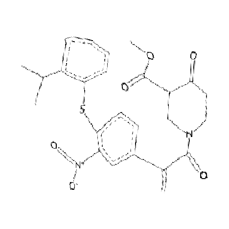 C=C(C(=O)N1CCC(=O)C(C(=O)OC)C1)c1ccc(Sc2ccccc2C(C)C)c([N+](=O)[O-])c1